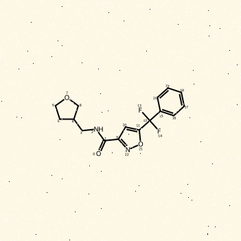 O=C(NCC1CCOC1)c1cc(C(F)(F)c2ccccc2)on1